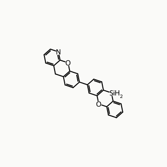 c1cnc2c(c1)Cc1ccc(-c3ccc4c(c3)Oc3ccccc3[SiH2]4)cc1O2